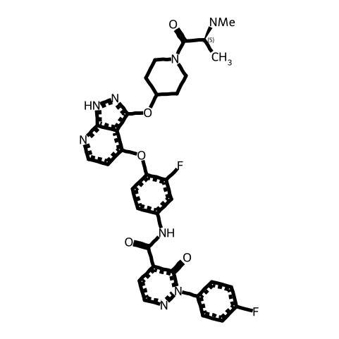 CN[C@@H](C)C(=O)N1CCC(Oc2n[nH]c3nccc(Oc4ccc(NC(=O)c5ccnn(-c6ccc(F)cc6)c5=O)cc4F)c23)CC1